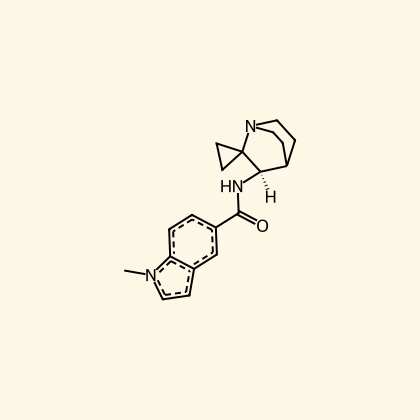 Cn1ccc2cc(C(=O)N[C@@H]3C4CCN(CC4)C34CC4)ccc21